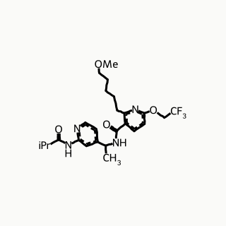 COCCCCCc1nc(OCC(F)(F)F)ccc1C(=O)NC(C)c1ccnc(NC(=O)C(C)C)c1